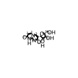 O=c1ccn2cc([C@@H]3O[C@H](CO)C(O)[C@@H]3O)c(=O)nc2[nH]1